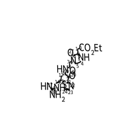 CCOC(=O)CC1NCCN(CC(=O)N[C@@H](CCCNC(=N)N)C(=O)c2nccs2)C1=O